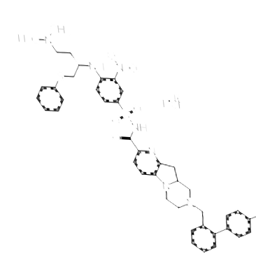 CN(C)CC[C@H](CSc1ccccc1)Nc1ccc(S(=O)(=O)NC(=O)c2ccc3c(n2)CC2CN(Cc4ccccc4-c4ccc(Cl)cc4)CCN32)cc1[N+](=O)[O-].Cl.Cl